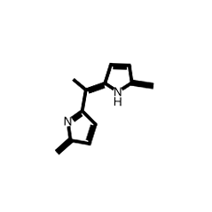 C=C1C=CC(/C(C)=c2/ccc(=C)[nH]2)=N1